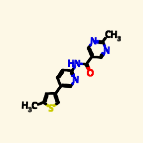 Cc1ncc(C(=O)Nc2ccc(-c3csc(C)c3)cn2)cn1